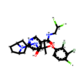 CC(C)(Oc1ccc(F)c(Cl)c1Cl)C(=O)NC1CC2CCC(C1)N2c1ccc(C(=O)NCC(F)F)cn1